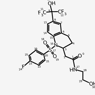 O=C(CC1CCc2cc(C(O)(C(F)(F)F)C(F)(F)F)ccc2N1S(=O)(=O)c1ccc(F)cc1)NCCO